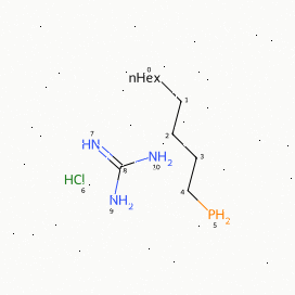 CCCCCCCCCCP.Cl.N=C(N)N